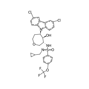 O=S(=NCC1CC1)(N[C@@H]1COCC[C@@H](n2c3ccc(Cl)cc3c3cc(Cl)ccc32)[C@H]1O)c1ccc(OC(F)(F)F)cc1